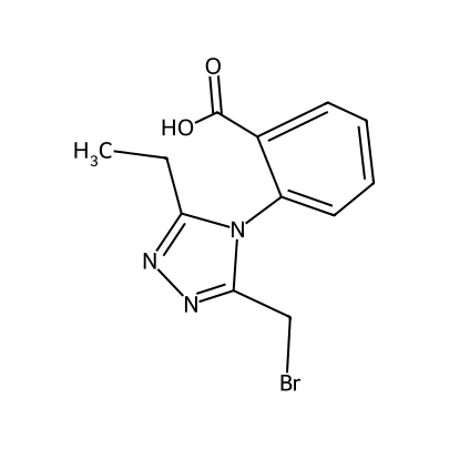 CCc1nnc(CBr)n1-c1ccccc1C(=O)O